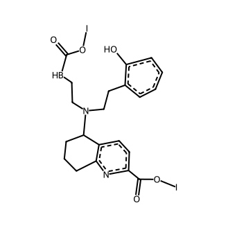 O=C(BCCN(CCc1ccccc1O)C1CCCc2nc(C(=O)OI)ccc21)OI